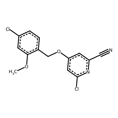 COc1cc(Cl)ccc1COc1cc(Cl)nc(C#N)c1